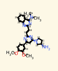 COc1ccc(-c2cc(N3CCC(N)C3)nc(C=Cc3nc(N(C)C)c4ccccc4n3)n2)cc1OC